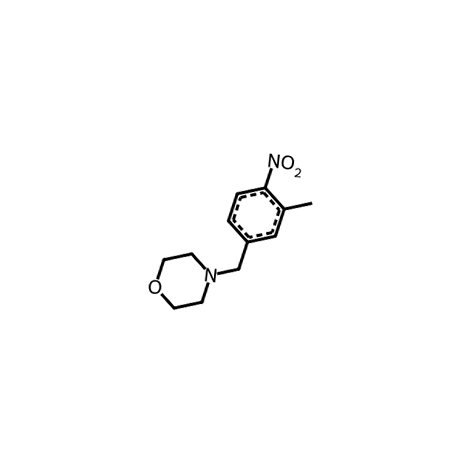 Cc1cc(CN2CCOCC2)ccc1[N+](=O)[O-]